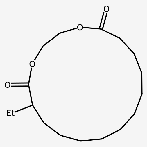 CCC1CCCCCCCCCCC(=O)OCCOC1=O